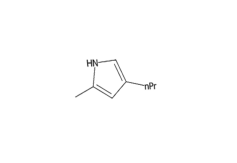 CCCc1c[nH]c(C)c1